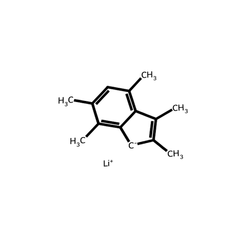 Cc1cc(C)c2c(C)c(C)[cH-]c2c1C.[Li+]